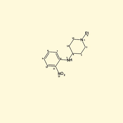 CCN1CCC(Nc2ccccc2[N+](=O)[O-])CC1